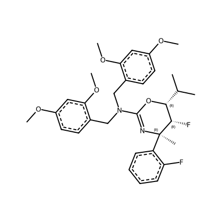 COc1ccc(CN(Cc2ccc(OC)cc2OC)C2=N[C@](C)(c3ccccc3F)[C@@H](F)[C@@H](C(C)C)O2)c(OC)c1